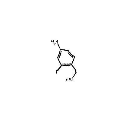 Nc1ccc(CO)c(I)c1